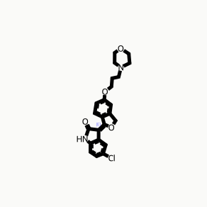 O=C1Nc2ccc(Cl)cc2/C1=C1\OCc2cc(OCCCN3CCOCC3)ccc21